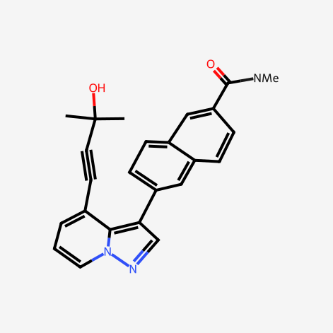 CNC(=O)c1ccc2cc(-c3cnn4cccc(C#CC(C)(C)O)c34)ccc2c1